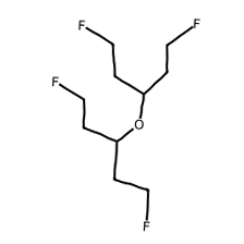 FCCC(CCF)OC(CCF)CCF